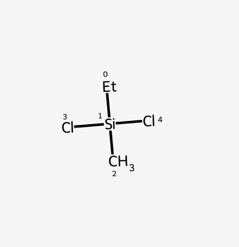 [CH2]C[Si](C)(Cl)Cl